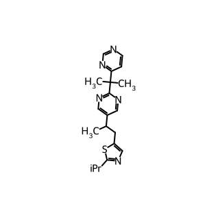 CC(C)c1ncc(CC(C)c2cnc(C(C)(C)c3ccncn3)nc2)s1